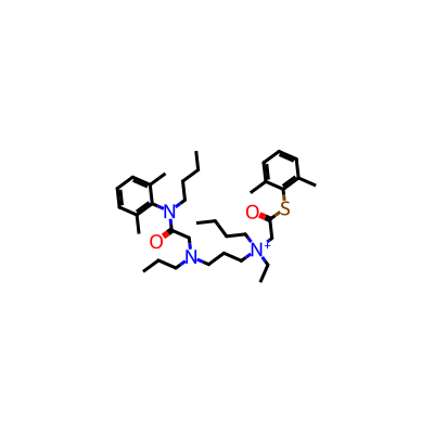 CCCCN(C(=O)CN(CCC)CCC[N+](CC)(CCCC)CC(=O)Sc1c(C)cccc1C)c1c(C)cccc1C